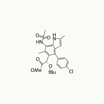 COC(=O)[C@@H](OC(C)(C)C)c1c(C)c(NS(C)(=O)=O)c2[nH]c(C)cc2c1-c1ccc(Cl)cc1